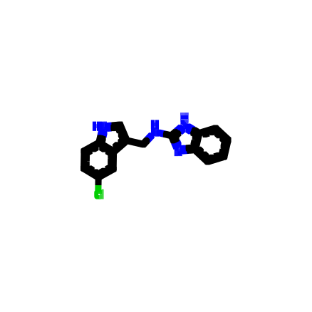 Clc1ccc2[nH]cc(CNc3nc4ccccc4[nH]3)c2c1